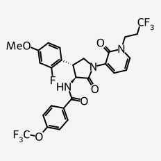 COc1ccc([C@@H]2CN(c3cccn(CCC(F)(F)F)c3=O)C(=O)[C@H]2NC(=O)c2ccc(OC(F)(F)F)cc2)c(F)c1